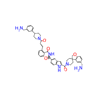 NCc1cccc(C2CCN(C(=O)/C=C/c3cccc4c3C(=O)NB(c3ccc5[nH]c(C(=O)N6CCC7(CC6)COc6ccc(CN)cc67)cc5c3)O4)CC2)c1